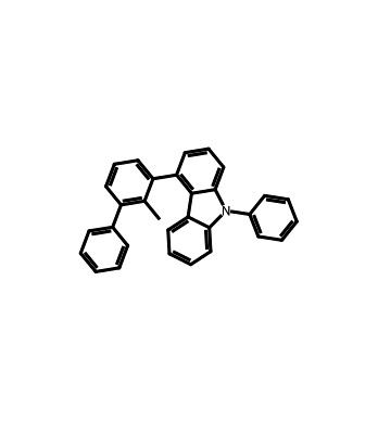 Cc1c(-c2ccccc2)cccc1-c1cccc2c1c1ccccc1n2-c1ccccc1